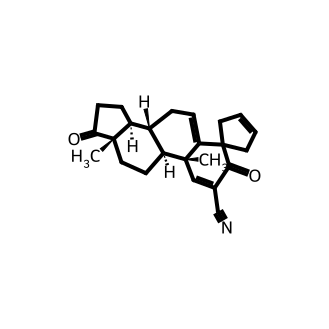 C[C@]12C=C(C#N)C(=O)C3(CC=CC3)C1=CC[C@@H]1[C@@H]2CC[C@]2(C)C(=O)CC[C@@H]12